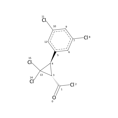 O=C(Cl)[C@H]1[C@H](c2cc(Cl)cc(Cl)c2)C1(Cl)Cl